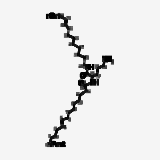 CCCCCC=CCC=CCCCCCCCC(=O)NC(CCCN)C(=O)NCCCCCCCCC=CCCCCCCCC